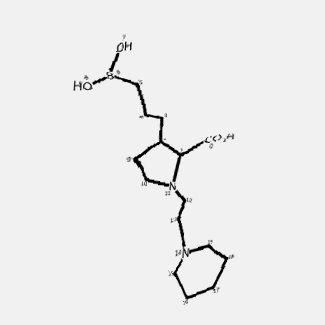 O=C(O)C1C(CCCB(O)O)CCN1CCN1CCCCC1